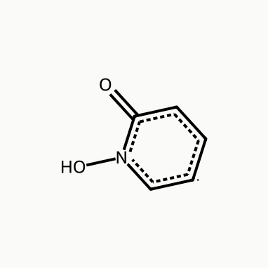 O=c1cc[c]cn1O